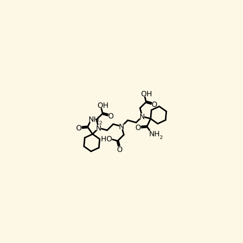 NC(=O)C1(N(CCN(CCN(CC(=O)O)C2(C(N)=O)CCCCC2)CC(=O)O)CC(=O)O)CCCCC1